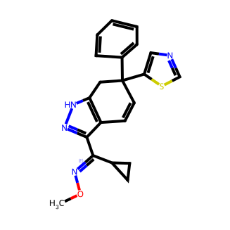 CO/N=C(/c1n[nH]c2c1C=CC(c1ccccc1)(c1cncs1)C2)C1CC1